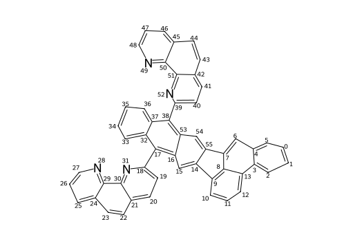 c1ccc2c(c1)cc1c3c(cccc32)-c2cc3c(-c4ccc5ccc6cccnc6c5n4)c4ccccc4c(-c4ccc5ccc6cccnc6c5n4)c3cc2-1